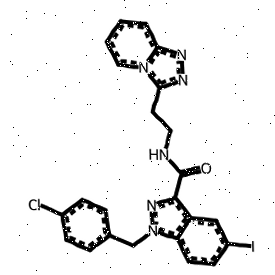 O=C(NCCc1nnc2ccccn12)c1nn(Cc2ccc(Cl)cc2)c2ccc(I)cc12